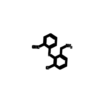 NCc1cccc(Cl)c1Sc1ccccc1C=O